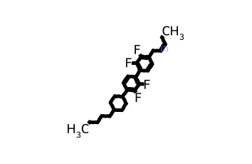 CC/C=C\Cc1ccc(-c2ccc(C3CCC(CCCCC)CC3)c(F)c2F)c(F)c1F